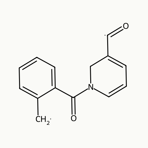 [CH2]c1ccccc1C(=O)N1C=CC=C([C]=O)C1